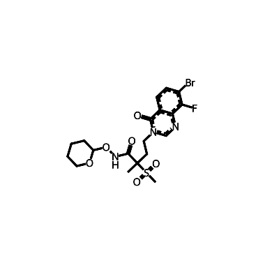 CC(CCn1cnc2c(F)c(Br)ccc2c1=O)(C(=O)NOC1CCCCO1)S(C)(=O)=O